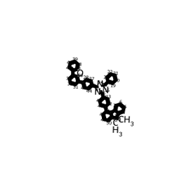 CC1(C)c2ccccc2-c2c(-c3ccc(-c4nc(-c5ccccc5)nc(-c5ccc(-c6cccc7c6oc6ccccc67)cc5)n4)cc3)cccc21